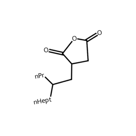 CCCCCCCC(CCC)CC1CC(=O)OC1=O